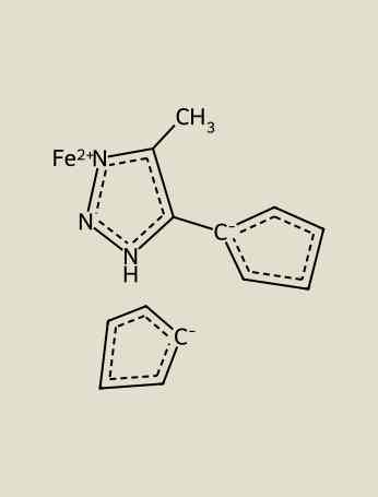 Cc1nn[nH]c1-[c-]1cccc1.[Fe+2].c1cc[cH-]c1